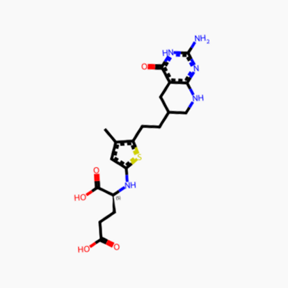 Cc1cc(N[C@@H](CCC(=O)O)C(=O)O)sc1CCC1CNc2nc(N)[nH]c(=O)c2C1